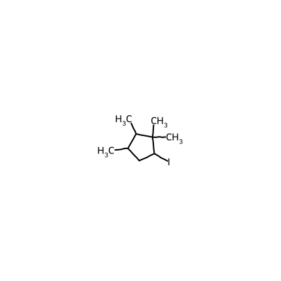 CC1CC(I)C(C)(C)C1C